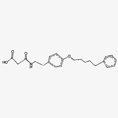 O=C(O)CC(=O)NCCc1ccc(OCCCCCc2ccccc2)cc1